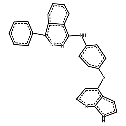 c1ccc(-c2nnc(Nc3ccc(Sc4ccnc5[nH]ccc45)cc3)c3ccccc23)cc1